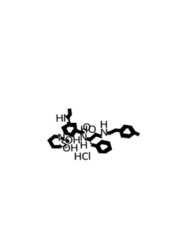 CCNc1cc(C(=O)N[C@@H](Cc2ccccc2)[C@@H](O)CNCCc2ccc(C)cc2)cc(N2CCCCS2(O)O)c1.Cl